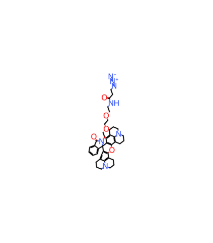 [N-]=[N+]=NCCC(=O)NCCOCCOCCN1C(=O)c2ccccc2C12c1cc3c4c(c1Oc1c2cc2c5c1CCCN5CCC2)CCCN4CCC3